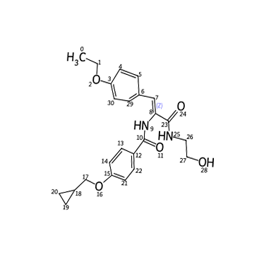 CCOc1ccc(/C=C(\NC(=O)c2ccc(OCC3CC3)cc2)C(=O)NCCO)cc1